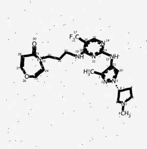 Cc1nn([C@@H]2CCN(C)C2)cc1Nc1ncc(C(F)(F)F)c(NCCCN2C=COC=CC2=O)n1